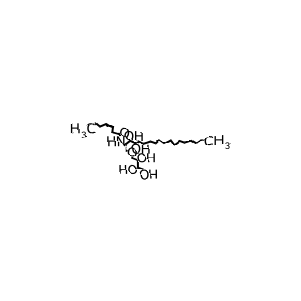 CCC/C=C\CC(=O)N[C@@H](COCC(O)[C@@H](O)CO)[C@H](O)[C@H](O)CCCCCCCCCCCCCC